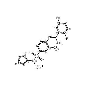 CC(Nc1ccc(S(=O)(=O)N(C(=O)O)c2cscn2)cc1C(F)(F)F)c1cc(F)ccc1F